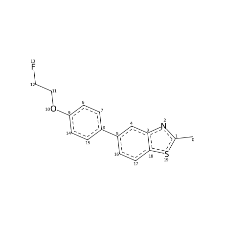 Cc1nc2cc(-c3ccc(OCCF)cc3)ccc2s1